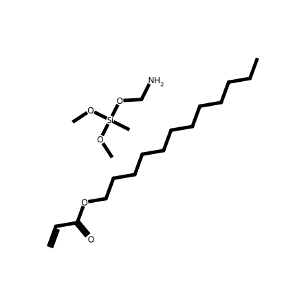 C=CC(=O)OCCCCCCCCCCCC.CO[Si](C)(OC)OCN